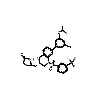 O=C1CCC(C[C@H]2CN(S(=O)(=O)c3cccc(C(F)(F)F)c3)c3cc(-c4cc(F)cc(OC(F)F)c4)ccc3O2)N1